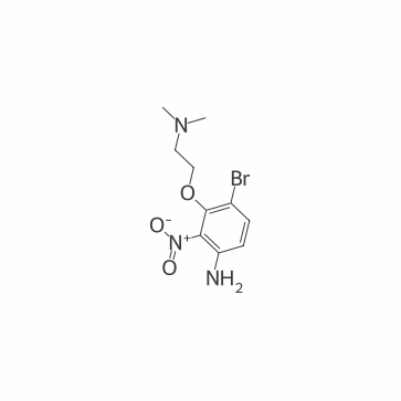 CN(C)CCOc1c(Br)ccc(N)c1[N+](=O)[O-]